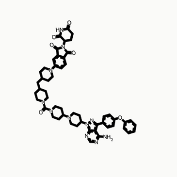 Nc1ncnc2c1c(-c1ccc(Oc3ccccc3)cc1)nn2C1CCN(C2CCN(C(=O)N3CCC(CC4CCN(c5ccc6c(c5)C(=O)N(C5CCC(=O)NC5=O)C6=O)CC4)CC3)CC2)CC1